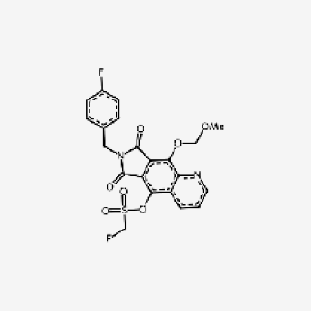 COCOc1c2c(c(OS(=O)(=O)CF)c3cccnc13)C(=O)N(Cc1ccc(F)cc1)C2=O